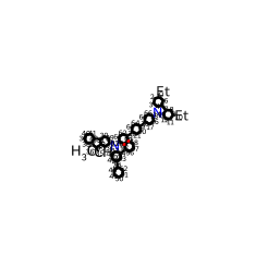 CCc1ccc2c(c1)c1cc(CC)ccc1n2-c1ccc(-c2ccc(-c3ccc(N(c4ccc5c(c4)C(C)(C)c4ccccc4-5)c4ccc(-c5ccccc5)cc4-c4ccccc4)cc3)cc2)cc1